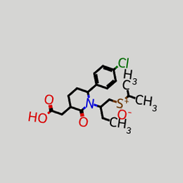 CCC(C[S+]([O-])C(C)C)N1C(=O)C(CC(=O)O)CCC1c1ccc(Cl)cc1